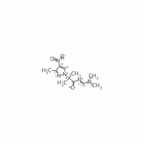 Cc1nn(C(C)(C)C(=O)/N=C/N(C)C)cc1[N+](=O)[O-]